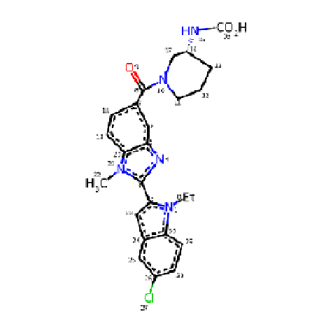 CCn1c(-c2nc3cc(C(=O)N4CCC[C@@H](NC(=O)O)C4)ccc3n2C)cc2cc(Cl)ccc21